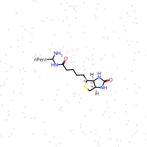 CCCCCC(N)NC(=O)CCCC[C@@H]1SC[C@@H]2NC(=O)N[C@@H]21